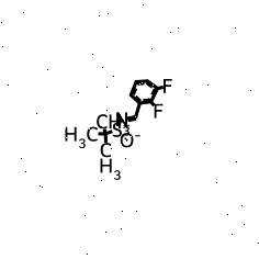 CC(C)(C)[S@@+]([O-])/N=C/c1cccc(F)c1F